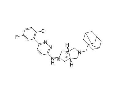 Fc1ccc(Cl)c(-c2ccc(N[C@H]3C[C@@H]4CN(CC56CC7CC(CC(C7)C5)C6)C[C@@H]4C3)nn2)c1